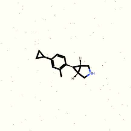 Cc1cc(C2CC2)ccc1[C@H]1[C@@H]2CNC[C@@H]21